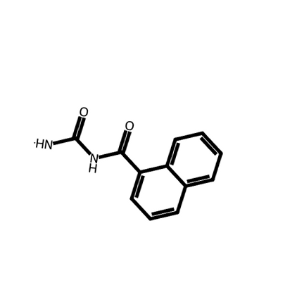 [NH]C(=O)NC(=O)c1cccc2ccccc12